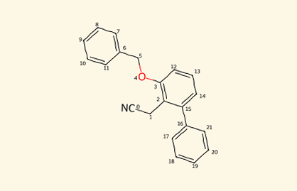 N#CCc1c(OCc2ccccc2)cccc1-c1ccccc1